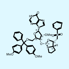 COc1ccc(C(OC[C@H]2O[C@@H](n3cnc4c(=O)[nH]cnc43)[C@H](OC)[C@@H]2O[P@]2O[C@H](CS(=O)(=O)c3ccccc3)[C@@H]3CCCN32)(c2ccccc2)c2ccc(OC)cc2)cc1